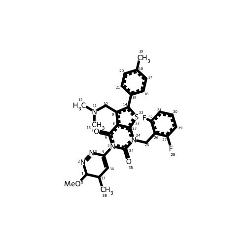 COC1N=NC(n2c(=O)c3c(CN(C)C)c(-c4ccc(C)cc4)sc3n(Cc3c(F)cccc3F)c2=O)=CC1C